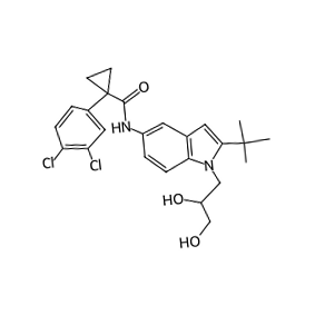 CC(C)(C)c1cc2cc(NC(=O)C3(c4ccc(Cl)c(Cl)c4)CC3)ccc2n1CC(O)CO